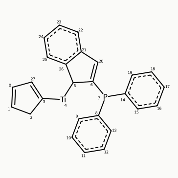 C1=CC[C]([Ti][CH]2C(P(c3ccccc3)c3ccccc3)=Cc3ccccc32)=C1